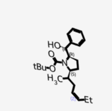 CC/C=C\CC(C)[C@@H]1CC[C@H]([C@H](O)c2ccccc2)N1C(=O)OC(C)(C)C